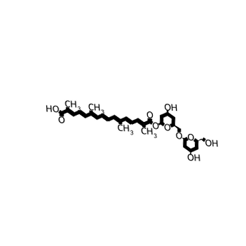 CC(/C=C/C=C(\C)C(=O)O)=C\C=C\C=C(C)\C=C\C=C(/C)C(=O)O[C@H]1C[C@@H](O)C[C@@H](CO[C@H]2C[C@@H](O)C[C@@H](CO)O2)O1